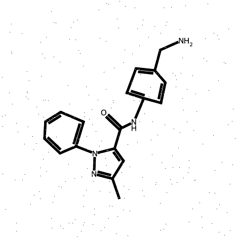 Cc1cc(C(=O)Nc2ccc(CN)cc2)n(-c2ccccc2)n1